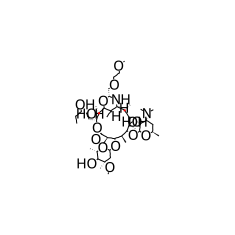 CCCO.CC[C@H]1OC(=O)[C@H](C)[C@@H](O[C@H]2C[C@@](C)(OC)[C@@H](O)[C@H](C)O2)[C@H](C)[C@@H](O[C@@H]2O[C@H](C)C[C@H](N(C)C)[C@H]2O)[C@](C)(O)C[C@@H](C)[C@@H]2N[C@@H](COCCOC)O[C@@H]([C@H]2C)[C@]1(C)O